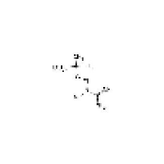 CCOC(=O)C(C)(C)O/N=C(\C#N)C(=N)N